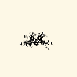 CC1c2c(n(-c3cccc(-n4c5ccc(C(C)(C)C)cc5c5cc(C(C)(C)C)ccc54)c3C(C)(C)C)c3ccc(C(C)(C)C)cc23)C=CC1C(C)(C)C